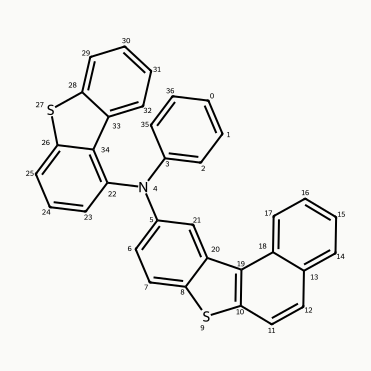 c1ccc(N(c2ccc3sc4ccc5ccccc5c4c3c2)c2cccc3sc4ccccc4c23)cc1